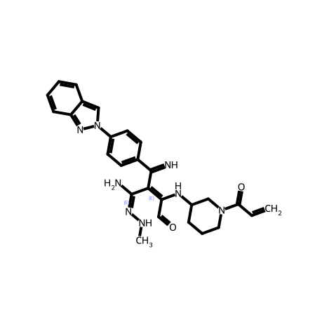 C=CC(=O)N1CCCC(N/C(C=O)=C(C(=N)c2ccc(-n3cc4ccccc4n3)cc2)/C(N)=N\NC)C1